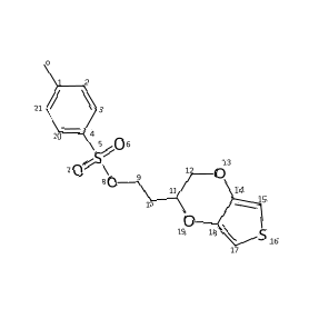 Cc1ccc(S(=O)(=O)OCCC2COc3cscc3O2)cc1